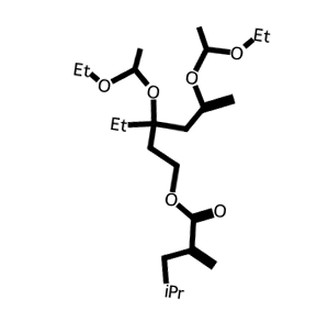 C=C(CC(CC)(CCOC(=O)C(=C)CC(C)C)OC(C)OCC)OC(C)OCC